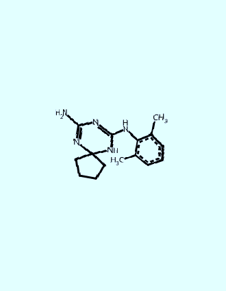 Cc1cccc(C)c1NC1=NC(N)=NC2(CCCC2)N1